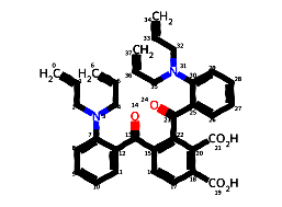 C=CCN(CC=C)c1ccccc1C(=O)c1ccc(C(=O)O)c(C(=O)O)c1C(=O)c1ccccc1N(CC=C)CC=C